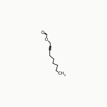 CCCCCCC#CCOC=O